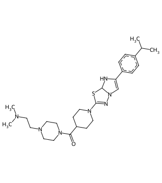 CC(C)c1ccc(C2=CN3N=C(N4CCC(C(=O)N5CCN(CCN(C)C)CC5)CC4)SC3N2)cc1